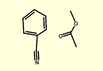 COC(C)=O.N#Cc1ccccc1